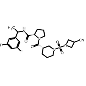 CC(NC(=O)[C@H]1CCCN1C(=O)[C@H]1CCCN(S(=O)(=O)N2CC(C#N)C2)C1)c1cc(F)cc(F)c1